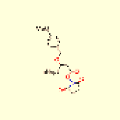 CCCCCCCC(CC(=O)ON1C(=O)CCC1=O)OCc1ccc(OC)cc1